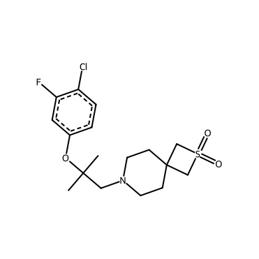 CC(C)(CN1CCC2(CC1)CS(=O)(=O)C2)Oc1ccc(Cl)c(F)c1